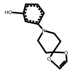 Oc1cccc(N2CCC3(CC2)OC=CO3)c1